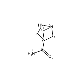 NC(=O)C12CNN(C1)C2